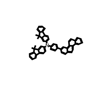 CC1(C)c2ccccc2-c2ccc(N(c3ccc(-c4ccc5ccc6c7ccccc7ccc6c5c4)cc3)c3ccc4c(c3)C(C)(C)c3ccccc3-4)cc21